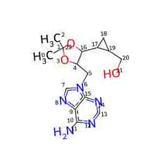 CC1(C)OC(Cn2cnc3c(N)ncnc32)C(C2CC2CO)O1